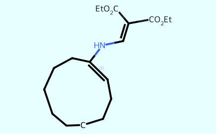 CCOC(=O)C(=CN/C1=C/CCCCCCCC1)C(=O)OCC